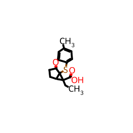 CCC1(C(=O)O)C2CCC(=O)C21Sc1ccc(C)cc1